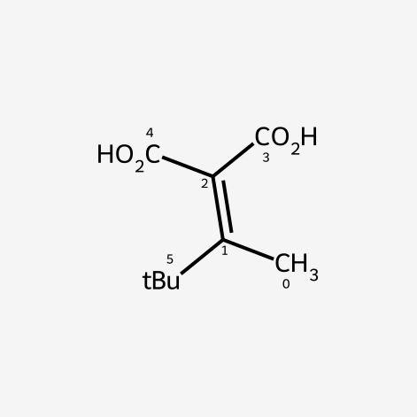 CC(=C(C(=O)O)C(=O)O)C(C)(C)C